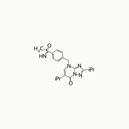 CC(C)c1nc2n(Cc3ccc(S(C)(=N)=O)cc3)cc(C(C)C)c(=O)n2n1